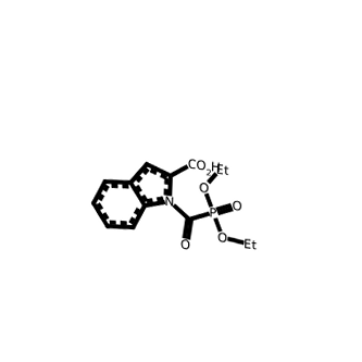 CCOP(=O)(OCC)C(=O)n1c(C(=O)O)cc2ccccc21